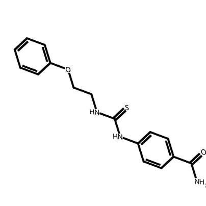 NC(=O)c1ccc(NC(=S)NCCOc2ccccc2)cc1